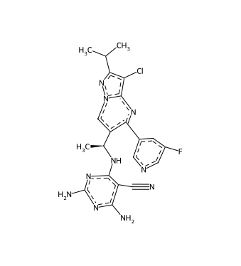 CC(C)c1nn2cc([C@H](C)Nc3nc(N)nc(N)c3C#N)c(-c3cncc(F)c3)nc2c1Cl